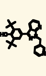 CC(C)(C)c1cc(-c2nn(Cc3cccnc3)c3ncccc23)cc(C(C)(C)C)c1O